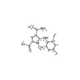 C=C(N)c1cc(C(=O)CC)n(C)c1Nc1ccc(I)cc1F